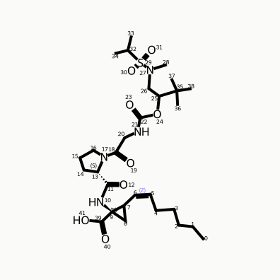 CCCCC/C=C\C1C[C@]1(NC(=O)[C@@H]1CCCN1C(=O)CNC(=O)OC(CN(C)S(=O)(=O)C(C)C)C(C)(C)C)C(=O)O